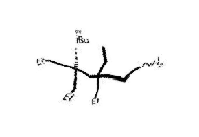 CC[C@@H](C)C(CC)(CC)C(C)(CC)CN